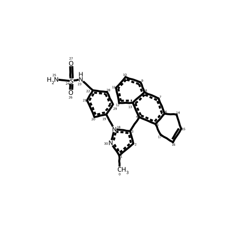 Cc1cc(-c2c3c(cc4ccccc24)CC=CC3)n(-c2ccc(NS(N)(=O)=O)cc2)n1